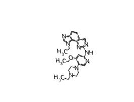 CCOc1cc(Nc2ncc3ccc4ncn(CC)c4c3n2)ncc1N1CCN(CC)CC1